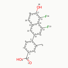 Cc1cc(C(=O)O)ccc1-c1cc(F)c2c(F)c(O)ccc2c1